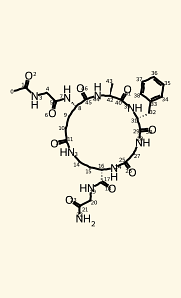 CC(=O)NCC(=O)N[C@H]1CCC(=O)NCC[C@@H](C(=O)NCC(N)=O)NC(=O)CNC(=O)[C@@H](Cc2ccccc2)NC(=O)[C@H](C)NC1=O